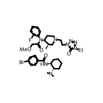 CCn1nnn(CCN2CC[C@H](N(C(=O)COC)c3ccccc3F)[C@H](C)C2)c1=O.CN(C)[C@H]1CCCC[C@@H]1NC(=O)c1ccc(Br)cc1